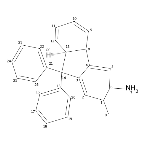 CC1C=C2C(=CC1N)C1C=CC=C[C@@H]1C2(c1ccccc1)c1ccccc1